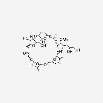 C=C1C[C@@H]2CCC(=O)C[C@H]3OC4C(O)[C@H]5OC(CCC5O[C@H]4C3O)CC(=O)CC3[C@@H](OC)C(CC(O)CO)O[C@H]3CC3OC(CCC1O2)C[C@@H](C)C3=C